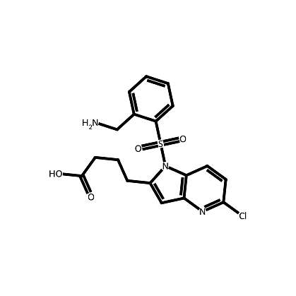 NCc1ccccc1S(=O)(=O)n1c(CCCC(=O)O)cc2nc(Cl)ccc21